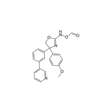 COc1ccc(C2(c3cccc(-c4cccnc4)c3)COC(NOC=O)=N2)cc1